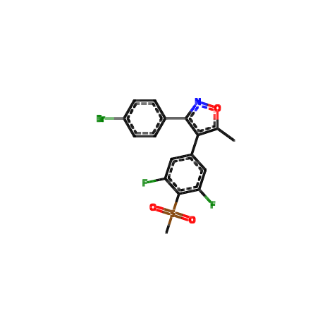 Cc1onc(-c2ccc(Br)cc2)c1-c1cc(F)c(S(C)(=O)=O)c(F)c1